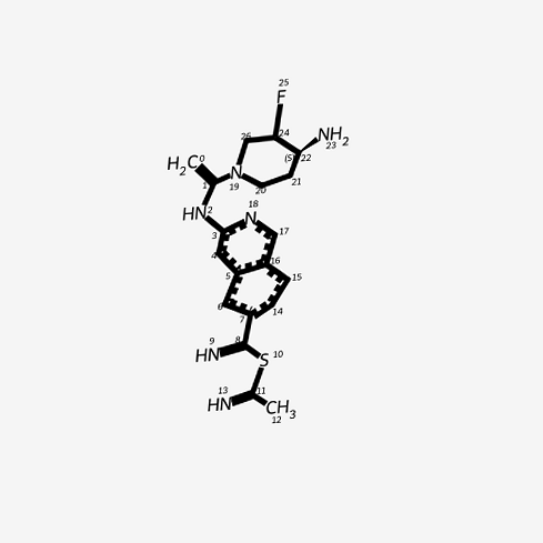 C=C(Nc1cc2cc(C(=N)SC(C)=N)ccc2cn1)N1CC[C@H](N)C(F)C1